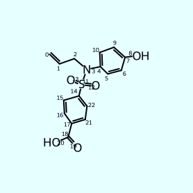 C=CCN(c1ccc(O)cc1)S(=O)(=O)c1ccc(C(=O)O)cc1